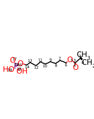 C=C(C)C(=O)OCCCCCCCCCOP(=O)(O)O